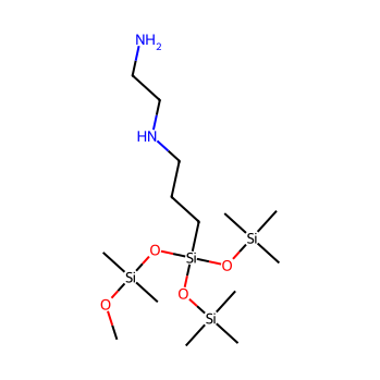 CO[Si](C)(C)O[Si](CCCNCCN)(O[Si](C)(C)C)O[Si](C)(C)C